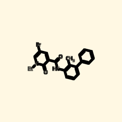 CCn1cc(Br)cc(C(=O)Nc2cccc(-c3ccccc3)c2C)c1=O